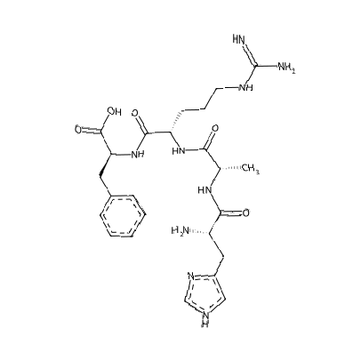 C[C@H](NC(=O)[C@@H](N)Cc1c[nH]cn1)C(=O)N[C@@H](CCCNC(=N)N)C(=O)N[C@@H](Cc1ccccc1)C(=O)O